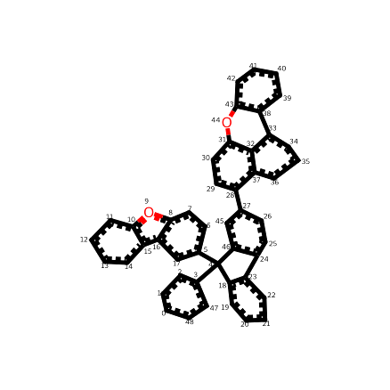 c1ccc(C2(c3ccc4oc5ccccc5c4c3)c3ccccc3-c3ccc(-c4ccc5c6c(cccc46)-c4ccccc4O5)cc32)cc1